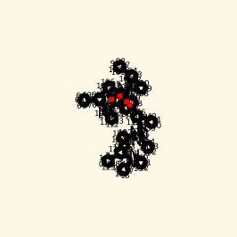 c1ccc(-c2cc(-c3nc4ccccc4n3-c3ccccc3)c3sc4c(-c5nc(-c6ccccc6)nc(-n6c7ccccc7c7cc(-c8cccc(-c9cccc(-n%10c(-c%11cc(-c%12ccccc%12)cc%12c%11sc%11c(-c%13nc(-c%14ccccc%14)nc(-n%14c%15ccccc%15c%15ccc(-c%16ccccc%16)cc%15%14)n%13)cccc%11%12)nc%11ccccc%11%10)c9)c8)ccc76)n5)cccc4c3c2)cc1